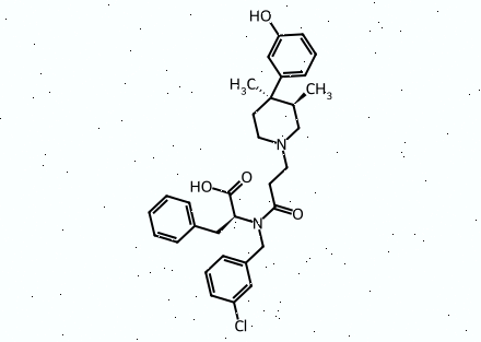 C[C@H]1CN(CCC(=O)N(Cc2cccc(Cl)c2)[C@@H](Cc2ccccc2)C(=O)O)CC[C@@]1(C)c1cccc(O)c1